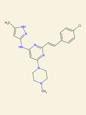 Cc1cc(Nc2cc(N3CCN(C)CC3)nc(C=Cc3ccc(Cl)cc3)n2)n[nH]1